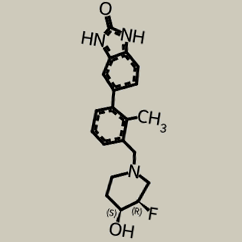 Cc1c(CN2CC[C@H](O)[C@H](F)C2)cccc1-c1ccc2[nH]c(=O)[nH]c2c1